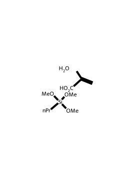 C=C(C)C(=O)O.CCC[Si](OC)(OC)OC.O